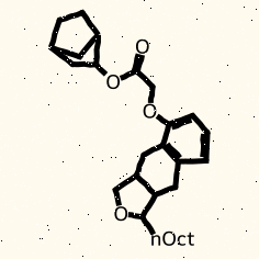 CCCCCCCCC1OCC2Cc3c(cccc3OCC(=O)OC3CC4CCC3C4)CC21